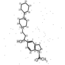 CC(=O)N1CCc2cc(C(O)CCN3CCN(C4CCCCC4)CC3)ccc21